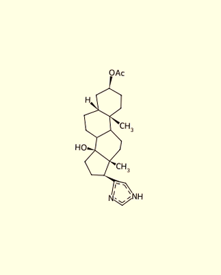 CC(=O)O[C@H]1CC[C@]2(C)C3CC[C@]4(C)[C@@H](c5c[nH]cn5)CC[C@]4(O)C3CC[C@@H]2C1